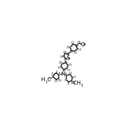 Cc1ccc(N(c2ccc(C)cc2)c2ccc(-c3ccc(-c4ccc(C=O)cc4)s3)cc2)cc1